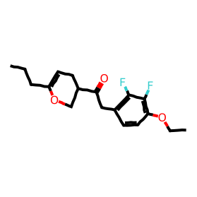 CCCC1=CCC(C(=O)Cc2ccc(OCC)c(F)c2F)CO1